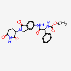 COC(=O)NC(C(=O)Nc1ccc2c(c1)CN(C1CCC(=O)NC1=O)C2=O)c1ccccc1